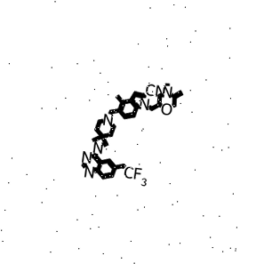 C=C1COC(Cn2c(C#N)cc3c(C)c(CN4CCC5(CC4)CN(c4ncnc6ccc(CC(F)(F)F)cc46)C5)ccc32)CN1C